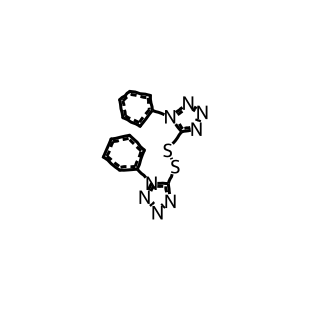 c1ccc(-n2nnnc2SSc2nnnn2-c2ccccc2)cc1